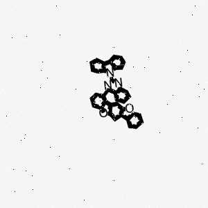 c1ccc2c(-c3cccc4oc5cc6c(cc5c34)oc3ccccc36)nc(-n3c4ccccc4c4ccccc43)nc2c1